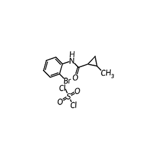 CC1CC1C(=O)Nc1ccccc1Br.O=S(=O)(Cl)Cl